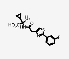 CC(NC(=O)Cc1csc(-c2cccc(F)c2)n1)(C(=O)O)C1CC1